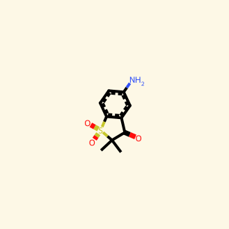 CC1(C)C(=O)c2cc(N)ccc2S1(=O)=O